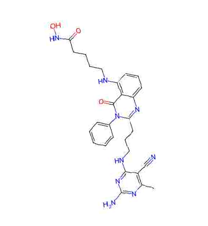 Cc1nc(N)nc(NCCCc2nc3cccc(NCCCCC(=O)NO)c3c(=O)n2-c2ccccc2)c1C#N